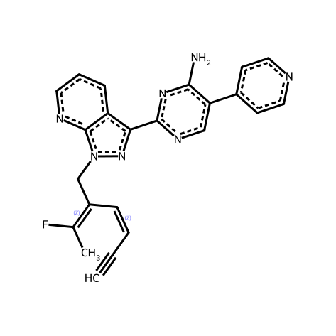 C#C/C=C\C(Cn1nc(-c2ncc(-c3ccncc3)c(N)n2)c2cccnc21)=C(/C)F